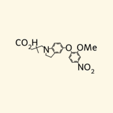 COc1cc([N+](=O)[O-])ccc1Oc1ccc2c(c1)CCN2CC(C)(C)C(=O)O